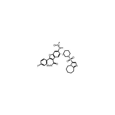 CNC(=O)c1c(-c2ccc(F)cc2)oc2cc(N(C)[S@+](C)[O-])c([C@@H]3CCCN(S(=O)(=O)c4cnc5n4CCCCC5)C3)cc12